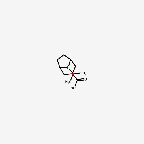 CC(C)N1C2CCC1CC(C(=O)O)C2